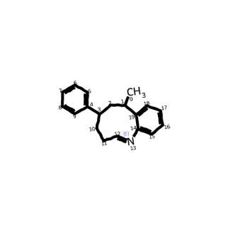 CC1CC(c2ccccc2)CC/C=N/c2ccccc21